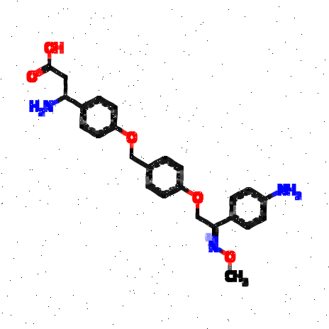 CO/N=C(/COc1ccc(COc2ccc(C(N)CC(=O)O)cc2)cc1)c1ccc(N)cc1